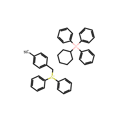 N#Cc1ccc(C[S+](c2ccccc2)c2ccccc2)cc1.c1ccc([B-](c2ccccc2)(c2ccccc2)C2CCCCC2)cc1